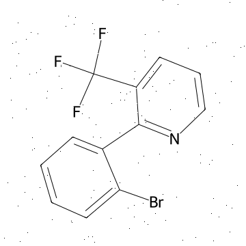 FC(F)(F)c1cccnc1-c1ccccc1Br